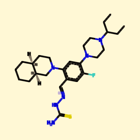 CCC(CC)N1CCN(c2cc(N3CC[C@@H]4CCCC[C@@H]4C3)c(/C=N/NC(N)=S)cc2F)CC1